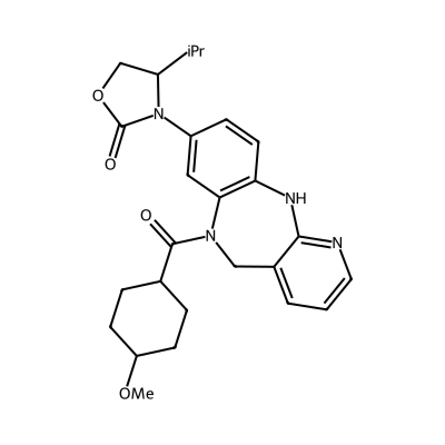 COC1CCC(C(=O)N2Cc3cccnc3Nc3ccc(N4C(=O)OCC4C(C)C)cc32)CC1